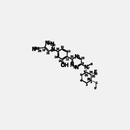 CC[C@@H]1CCC[C@H](N(C)c2cnc(-c3ccc(-n4cc(C#N)nn4)cc3O)nn2)[C@@H]1F